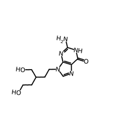 Nc1nc2c(ncn2CCC(CO)CCO)c(=O)[nH]1